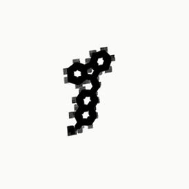 Brc1ccc2cc(C=C3c4ccccc4-c4ccccc43)ccc2c1